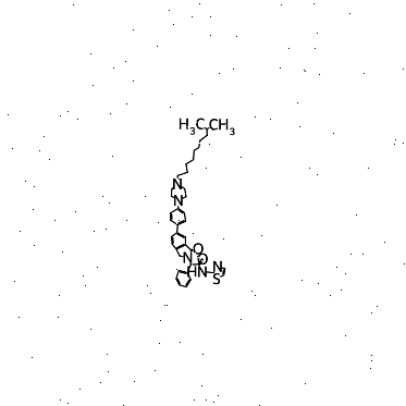 CC(C)CCCCCCCCN1CCN(c2ccc(-c3ccc4c(c3)C(=O)N(C(C(=O)Nc3nccs3)c3ccccc3)C4)cc2)CC1